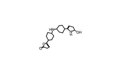 O=C1CC=C(C2CCC(NC3CCC(C4=CCC(O)N4)CC3)CC2)O1